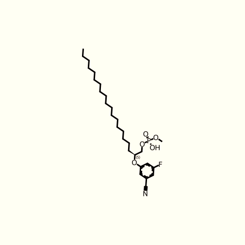 CCCCCCCCCCCCCCCCCC[C@@H](COP(=O)(O)OC)Oc1cc(F)cc(C#N)c1